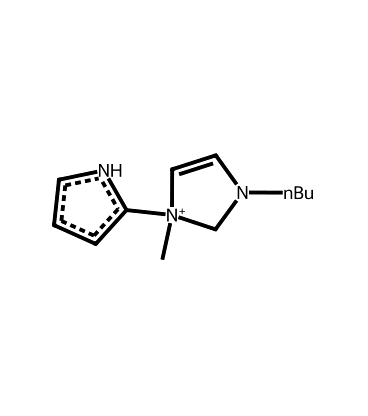 CCCCN1C=C[N+](C)(c2ccc[nH]2)C1